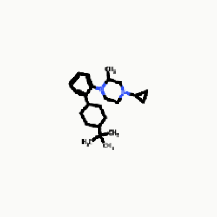 CC1CN(C2CC2)CCN1c1ccccc1C1CCC(C(C)(C)C)CC1